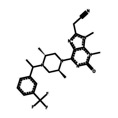 CC(c1cccc(C(F)(F)F)c1)N1C[C@H](C)N(c2nc(=O)n(C)c3c2nc(CC#N)n3C)C[C@H]1C